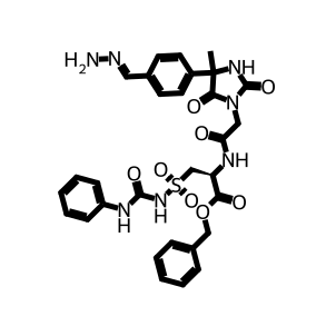 CC1(c2ccc(C=NN)cc2)NC(=O)N(CC(=O)N[C@H](CS(=O)(=O)NC(=O)Nc2ccccc2)C(=O)OCc2ccccc2)C1=O